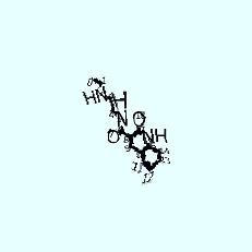 CCNCCNC(=O)c1cc2ccccc2[nH]c1=O